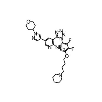 Nc1ncc(-c2cnn(C3CCOCC3)c2)cc1-c1nnnn1-c1ccc(OCCCCN2CCCCC2)c(F)c1F